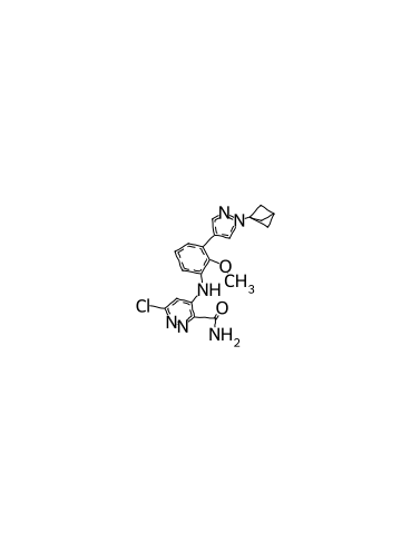 COc1c(Nc2cc(Cl)nnc2C(N)=O)cccc1-c1cnn(C23CC(C2)C3)c1